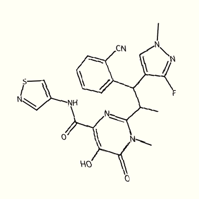 CC(c1nc(C(=O)Nc2cnsc2)c(O)c(=O)n1C)C(c1ccccc1C#N)c1cn(C)nc1F